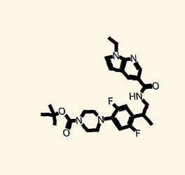 CCn1ccc2cc(C(=O)NCC(C)c3cc(F)c(N4CCN(C(=O)OC(C)(C)C)CC4)cc3F)cnc21